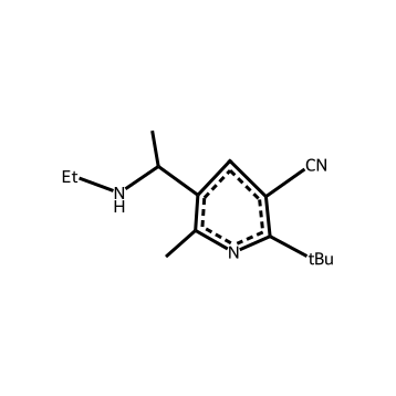 CCNC(C)c1cc(C#N)c(C(C)(C)C)nc1C